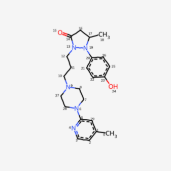 Cc1ccnc(N2CCN(CCCN3C(=O)CC(C)N3c3ccc(O)cc3)CC2)c1